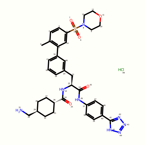 Cc1ccc(S(=O)(=O)N2CCOCC2)cc1-c1cccc(C[C@H](NC(=O)[C@H]2CC[C@H](CN)CC2)C(=O)Nc2ccc(-c3nnn[nH]3)cc2)c1.Cl